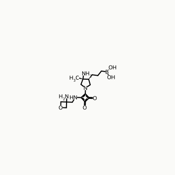 C[C@]1(N)CN(c2c(NCC3(N)COC3)c(=O)c2=O)C[C@@H]1CCCB(O)O